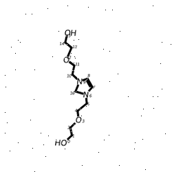 OCCOCCN1C=CN(CCOCCO)C1